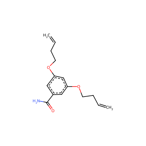 C=CCCOc1cc(OCCC=C)cc(C(N)=O)c1